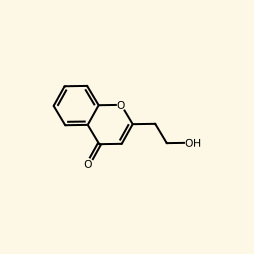 O=c1cc(CCO)oc2ccccc12